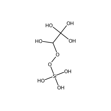 OC(OO[Si](O)(O)O)C(O)(O)O